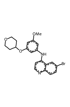 COc1cc(Nc2ccnc3ccc(Br)cc23)cc(OC2CCOCC2)c1